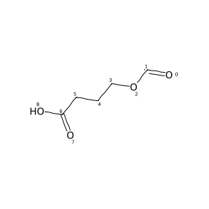 O=[C]OCCCC(=O)O